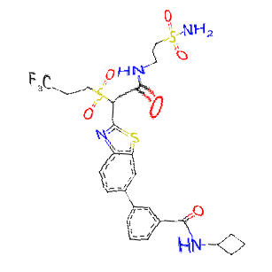 NS(=O)(=O)CCNC(=O)C(c1nc2ccc(-c3cccc(C(=O)NC4CCC4)c3)cc2s1)S(=O)(=O)CCC(F)(F)F